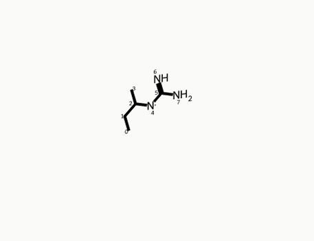 CCC(C)[N]C(=N)N